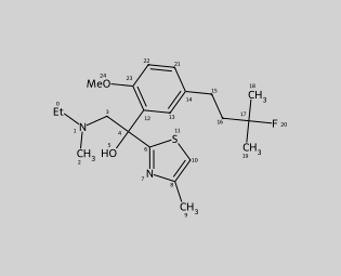 CCN(C)CC(O)(c1nc(C)cs1)c1cc(CCC(C)(C)F)ccc1OC